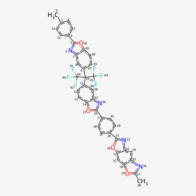 Cc1ccc(-c2nc3cc(C(c4ccc5oc(-c6ccc(-c7nc8cc9nc(C)oc9cc8o7)cc6)nc5c4)(C(F)(F)F)C(F)(F)F)ccc3o2)cc1